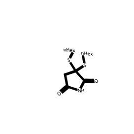 CCCCCCSC1(SCCCCCC)CC(=O)NC1=O